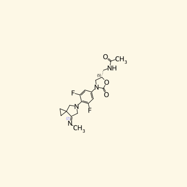 C/N=C1\CN(c2c(F)cc(N3C[C@H](CNC(C)=O)OC3=O)cc2F)CC12CC2